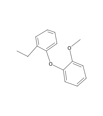 CCc1ccccc1Oc1ccccc1OC